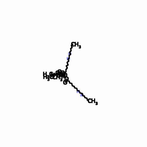 CCCCC/C=C/C/C=C/CCCCCCCC(=O)OC[C@H](COP(=O)(O)OCC[N+](C)(C)C)OC(=O)CCCCCCC/C=C/C/C=C/CCCCC